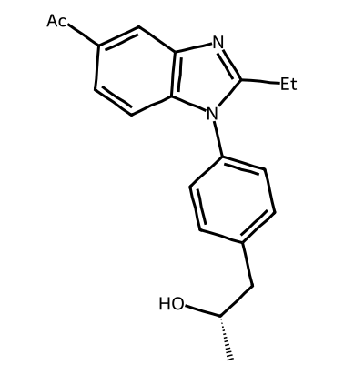 CCc1nc2cc(C(C)=O)ccc2n1-c1ccc(C[C@H](C)O)cc1